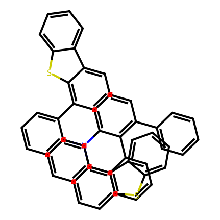 c1ccc(-c2ccccc2-c2c(-c3ccccc3)cccc2N(c2ccccc2-c2cccc3c2sc2ccccc23)c2cccc3sc4ccccc4c23)cc1